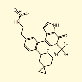 [2H]C([2H])([2H])n1cc(-c2cc(CCN[SH](=O)=O)ccc2C2CC3(CCN2)CC3)c2cc[nH]c2c1=O